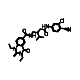 C=C1N(CC)C(=O)c2cc(C(=O)NCC(CC(=O)Nc3ccc(C#N)c(Cl)c3)C(C)C)ccc2N1CC